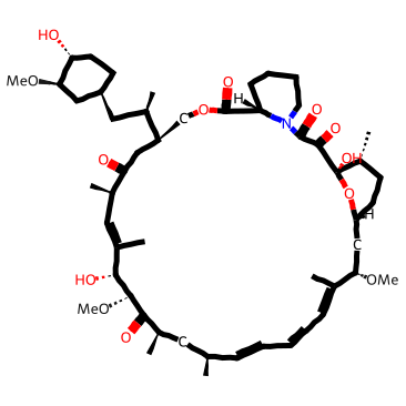 CO[C@H]1C[C@@H]2CC[C@@H](C)[C@@](O)(O2)C(=O)C(=O)N2CCCC[C@H]2C(=O)OC[C@H]([C@H](C)C[C@@H]2CC[C@@H](O)[C@H](OC)C2)CC(=O)[C@H](C)/C=C(\C)[C@@H](O)[C@@H](OC)C(=O)[C@H](C)C[C@H](C)/C=C/C=C/C=C/1C